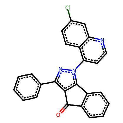 O=C1c2ccccc2-c2c1c(-c1ccccc1)nn2-c1ccnc2cc(Cl)ccc12